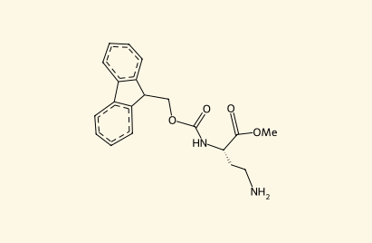 COC(=O)[C@H](CCN)NC(=O)OCC1c2ccccc2-c2ccccc21